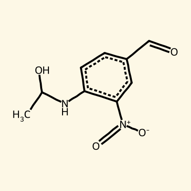 CC(O)Nc1ccc(C=O)cc1[N+](=O)[O-]